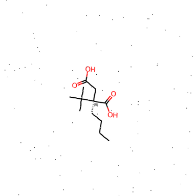 CCCC[C@](CC(=O)O)(C(=O)O)C(C)(C)C